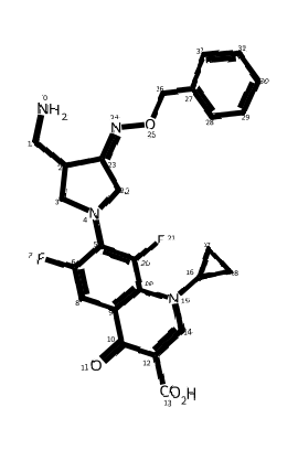 NCC1CN(c2c(F)cc3c(=O)c(C(=O)O)cn(C4CC4)c3c2F)CC1=NOCc1ccccc1